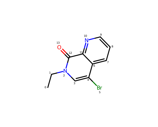 CCn1cc(Br)c2cccnc2c1=O